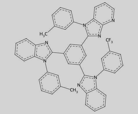 Cc1cccc(-n2c(-c3cc(-c4nc5ccccc5n4-c4cccc(C(F)(F)F)c4)cc(-c4nc5ncccc5n4-c4cccc(C)c4)c3)nc3ccccc32)c1